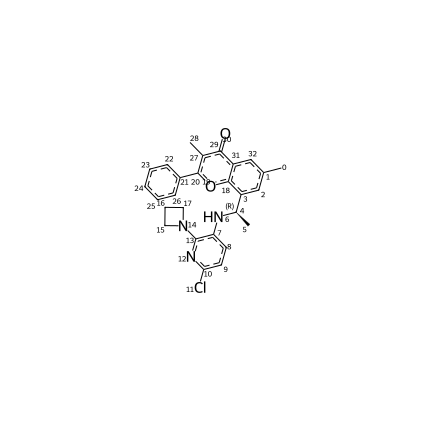 Cc1cc([C@@H](C)Nc2ccc(Cl)nc2N2CCC2)c2oc(-c3ccccc3)c(C)c(=O)c2c1